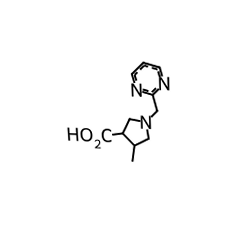 CC1CN(Cc2ncccn2)CC1C(=O)O